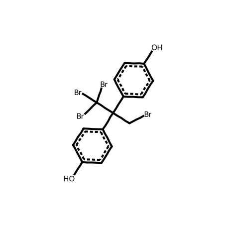 Oc1ccc(C(CBr)(c2ccc(O)cc2)C(Br)(Br)Br)cc1